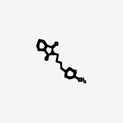 Cc1ccc(CCCCN2C(=O)c3ccccc3C2=O)cn1